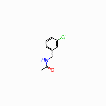 CC(=O)NCc1cccc(Cl)c1